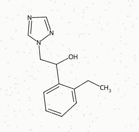 CCc1ccccc1C(O)Cn1cncn1